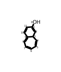 OC1=CC2C=CC=CC=C2C=C1